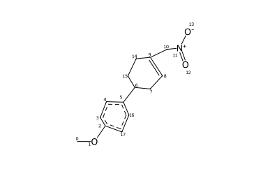 COc1ccc(C2CC=C(C[N+](=O)[O-])CC2)cc1